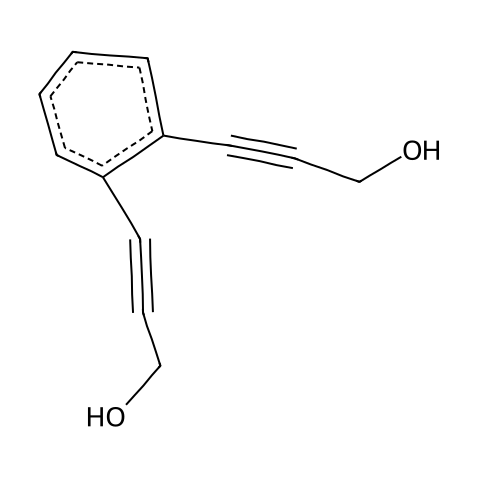 OCC#Cc1ccccc1C#CCO